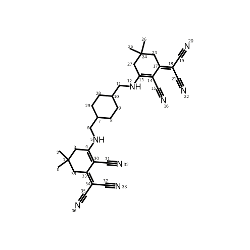 CC1(C)CC(NCC2CCC(CNC3=C(C#N)C(=C(C#N)C#N)CC(C)(C)C3)CC2)=C(C#N)C(=C(C#N)C#N)C1